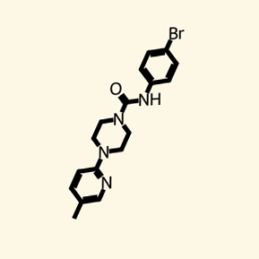 Cc1ccc(N2CCN(C(=O)Nc3ccc(Br)cc3)CC2)nc1